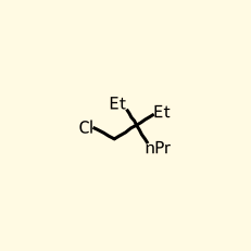 CCCC(CC)(CC)CCl